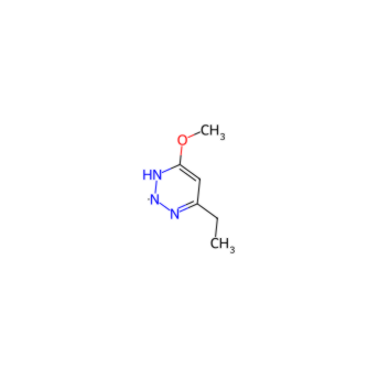 CCC1=N[N]NC(OC)=C1